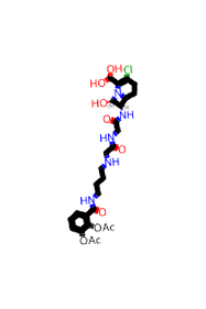 CC(=O)Oc1cccc(C(=O)NCCCCNCC(=O)NCC(=O)N[C@H]2C3CCC(Cl)=C(C(O)O)N3[C@H]2O)c1OC(C)=O